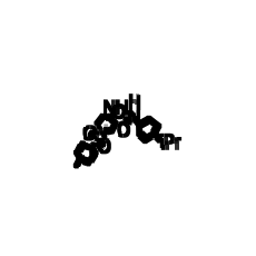 Cc1ccc(S(=O)(=O)N2CCC(N)(OC(=O)Nc3ccc(C(C)C)cc3)CC2)cc1